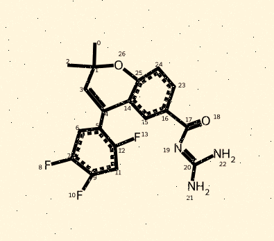 CC1(C)C=C(c2cc(F)c(F)cc2F)c2cc(C(=O)N=C(N)N)ccc2O1